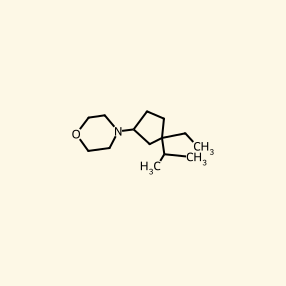 CCC1(C(C)C)CCC(N2CCOCC2)C1